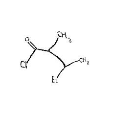 CCC(C)C(C)C(=O)Cl